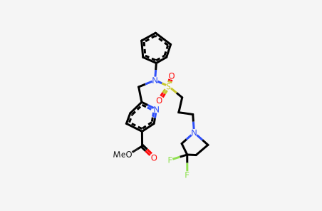 COC(=O)c1ccc(CN(c2ccccc2)S(=O)(=O)CCCN2CCC(F)(F)C2)nc1